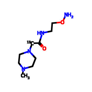 CN1CCN([13CH2]C(=O)NCCON)CC1